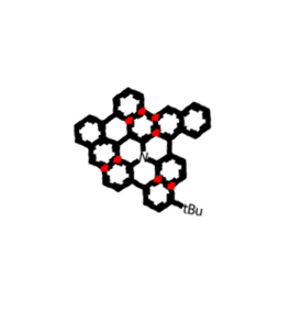 CC(C)(C)c1ccc(-c2ccccc2N(c2ccccc2-c2cccc3ccccc23)c2ccccc2-c2cccc3cccc(-c4ccccc4)c23)cc1